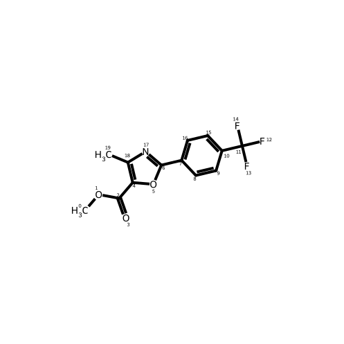 COC(=O)c1oc(-c2ccc(C(F)(F)F)cc2)nc1C